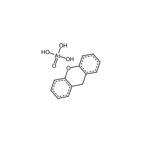 O=[As](O)(O)O.c1ccc2c(c1)Cc1ccccc1O2